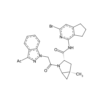 CC(=O)c1nn(CC(=O)N2C3C[C@]3(C)C[C@H]2C(=O)Nc2nc(Br)cc3c2CCC3)c2ccccc12